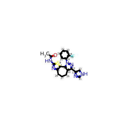 CC(=O)Nc1nc2c(s1)-c1c(c(-c3c[nH]cn3)nn1-c1ccccc1F)CCC2